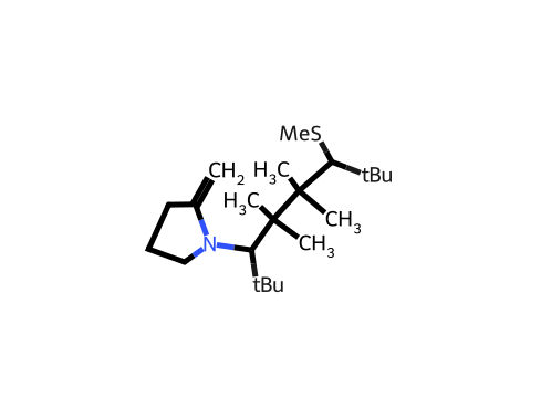 C=C1CCCN1C(C(C)(C)C)C(C)(C)C(C)(C)C(SC)C(C)(C)C